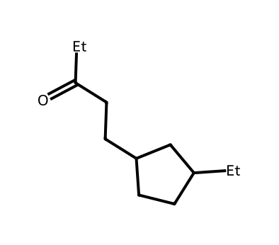 CCC(=O)CCC1CCC(CC)C1